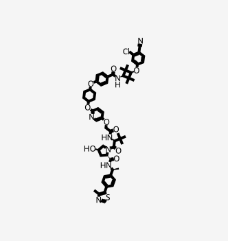 Cc1ncsc1-c1ccc([C@H](C)NC(=O)[C@@H]2C[C@@H](O)CN2C(=O)[C@@H](NC(=O)COc2ccc(OC3CCC(Oc4ccc(C(=O)N[C@H]5C(C)(C)[C@H](Oc6ccc(C#N)c(Cl)c6)C5(C)C)cc4)CC3)nc2)C(C)(C)C)cc1